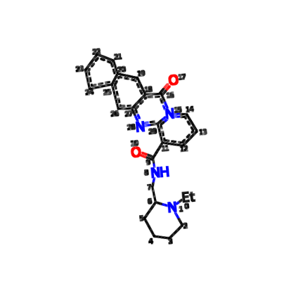 CCN1CCCCC1CNC(=O)c1cccn2c(=O)c3cc4ccccc4cc3nc12